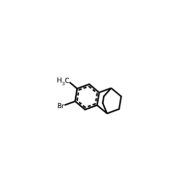 Cc1cc2c(cc1Br)C1CCC2CC1